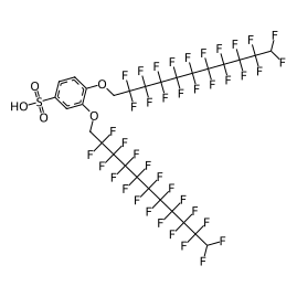 O=S(=O)(O)c1ccc(OCC(F)(F)C(F)(F)C(F)(F)C(F)(F)C(F)(F)C(F)(F)C(F)(F)C(F)(F)C(F)(F)C(F)F)c(OCC(F)(F)C(F)(F)C(F)(F)C(F)(F)C(F)(F)C(F)(F)C(F)(F)C(F)(F)C(F)(F)C(F)F)c1